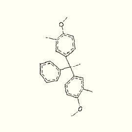 COc1ccc(C(C)(c2ccccc2)c2ccc(OC)c(C)c2)cc1C